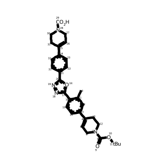 Cc1cc(C2=CCN(C(=O)OC(C)(C)C)CC2)ccc1-c1nnc(-c2ccc(C3=CCN(C(=O)O)CC3)cc2)o1